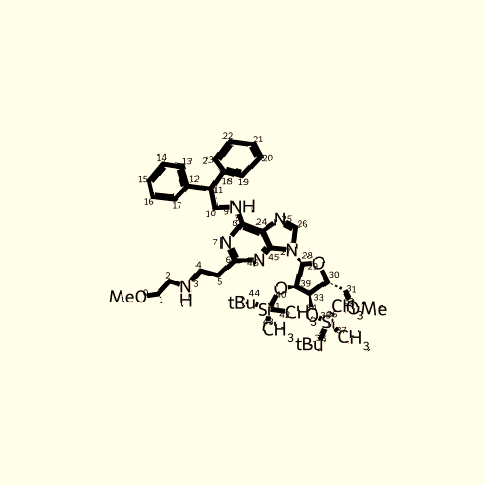 COCCNCCc1nc(NCC(c2ccccc2)c2ccccc2)c2ncn([C@@H]3O[C@H](COC)[C@@H](O[Si](C)(C)C(C)(C)C)[C@H]3O[Si](C)(C)C(C)(C)C)c2n1